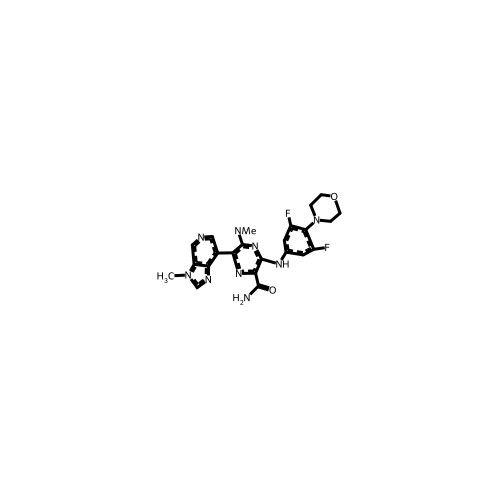 CNc1nc(Nc2cc(F)c(N3CCOCC3)c(F)c2)c(C(N)=O)nc1-c1cncc2c1ncn2C